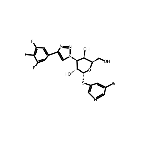 OC[C@H]1O[C@H](Sc2cncc(Br)c2)[C@H](O)[C@@H](n2cc(-c3cc(F)c(F)c(F)c3)nn2)[C@H]1O